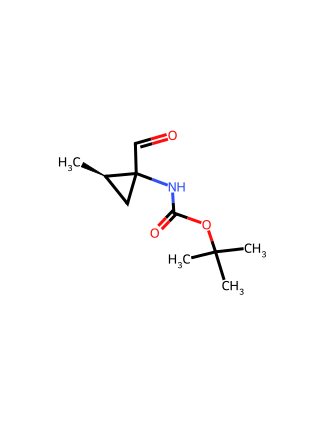 C[C@@H]1CC1(C=O)NC(=O)OC(C)(C)C